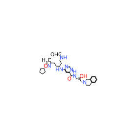 CC(CCC(CCNC=O)Nc1cc(C(=O)NC[C@H](O)CN2CCc3ccccc3C2)ncn1)=NOC1CCCC1